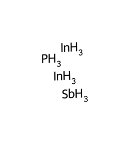 P.[InH3].[InH3].[SbH3]